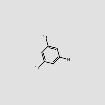 [2H]c1[c]c([2H])cc([2H])c1